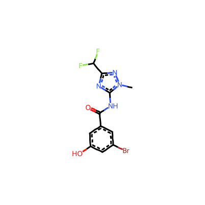 Cn1nc(C(F)F)nc1NC(=O)c1cc(O)cc(Br)c1